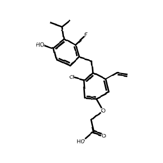 C=Cc1cc(OCC(=O)O)cc(Cl)c1Cc1ccc(O)c(C(C)C)c1F